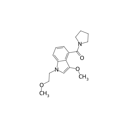 COCCn1cc(OC)c2c(C(=O)N3CCCC3)cccc21